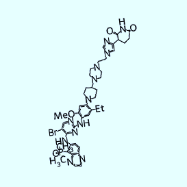 CCc1cc(Nc2ncc(Br)c(Nc3ccc4nccnc4c3P(C)(C)=O)n2)c(OC)cc1N1CCC(N2CCN(CCn3cnc(C4CCC(=O)NC4=O)c3)CC2)CC1